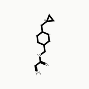 C=CC(=O)OCC1CCC(CC2CC2)CC1